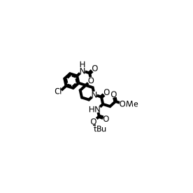 COC(=O)CC(NC(=O)OC(C)(C)C)C(=O)N1CCCC2(C1)OC(=O)Nc1ccc(Cl)cc12